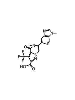 Cn1cnc2cc(-c3cn4nc(C(=O)O)c(C(F)(F)F)c4c(=O)[nH]3)ccc21